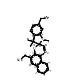 CN1c2cc(CBr)ccc2C(C)(C)C12C=Nc1c(c(CBr)cc3ccccc13)O2